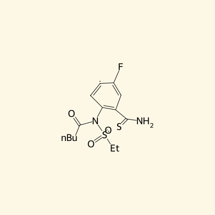 CCCCC(=O)N(c1c[c]c(F)cc1C(N)=S)S(=O)(=O)CC